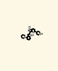 C1=C(c2ccc3[nH]nc(-c4cc5c(N6CCCCC6)cccc5[nH]4)c3n2)CCNC1